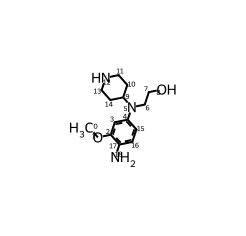 COc1cc(N(CCO)C2CCNCC2)ccc1N